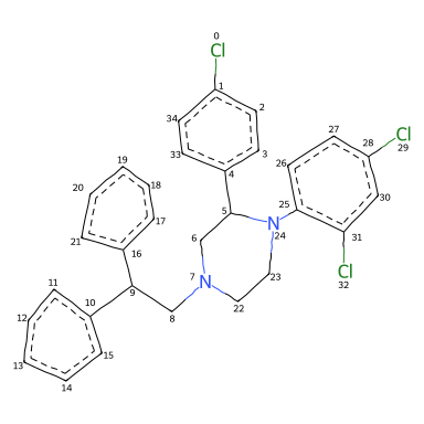 Clc1ccc(C2CN(CC(c3ccccc3)c3ccccc3)CCN2c2ccc(Cl)cc2Cl)cc1